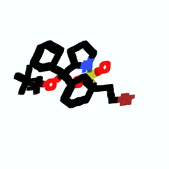 CC(C)(C)[Si](C)(C)OC(c1ccccc1)(c1ccccc1)C1CCCN1S(=O)(=O)CCCBr